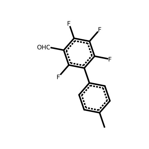 Cc1ccc(-c2c(F)c(F)c(F)c(C=O)c2F)cc1